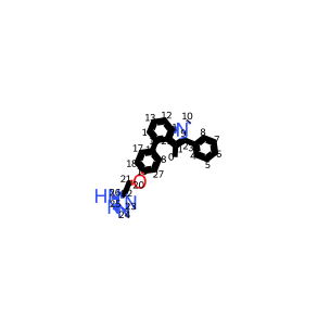 Cc1c(-c2ccccc2)n(C)c2cccc(-c3ccc(OCc4nnn[nH]4)cc3)c12